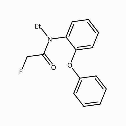 CCN(C(=O)CF)c1ccccc1Oc1ccccc1